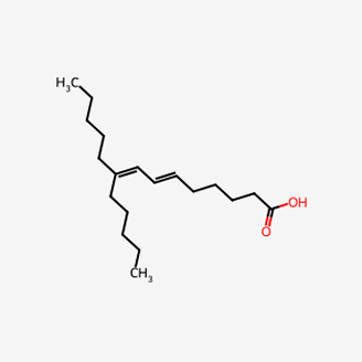 CCCCCC(=CC=CCCCCC(=O)O)CCCCC